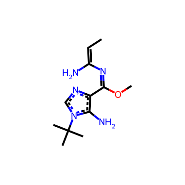 C/C=C(N)\N=C(\OC)c1ncn(C(C)(C)C)c1N